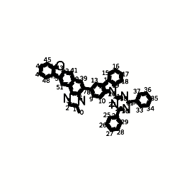 Cc1cnc2c(n1)c(-c1ccc3c(c1)c1ccccc1n3-c1nc(-c3ccccc3)nc(-c3ccccc3)n1)cc1cc3oc4ccccc4c3cc12